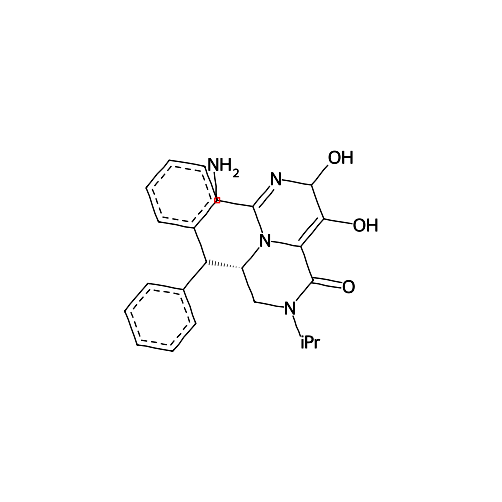 CC(C)N1C[C@H](C(c2ccccc2)c2ccccc2)N2C(CN)=NC(O)C(O)=C2C1=O